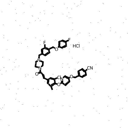 Cc1cc(/C=C/C(=O)N2CCN(Cc3ccc(COc4ccc(F)cc4)c(F)c3)CC2)cc(Cl)c1Oc1ccc(OCc2ccc(C#N)cc2)cn1.Cl